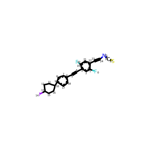 Fc1cc(C#Cc2ccc(C3CCC(I)CC3)cc2)c(F)cc1C#CN=C=S